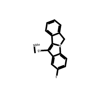 CCc1c2n(c3ccc(F)cc13)Cc1ccccc1-2.CNC